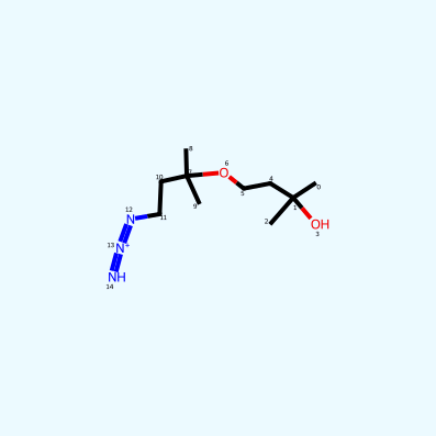 CC(C)(O)CCOC(C)(C)CCN=[N+]=N